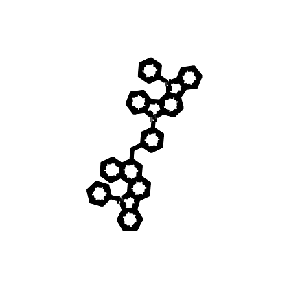 c1ccc(-n2c3ccccc3c3ccc4cc(Cc5cccc(-n6c7ccccc7c7c6ccc6c8ccccc8n(-c8ccccc8)c67)c5)c5ccccc5c4c32)cc1